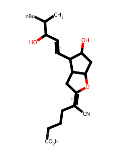 CCCCC(C)C(O)/C=C/C1C(O)CC2O/C(=C(\C#N)CCCC(=O)O)CC21